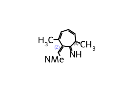 CN/C=C1\C(=N)[C@H](C)C=CC=C1C